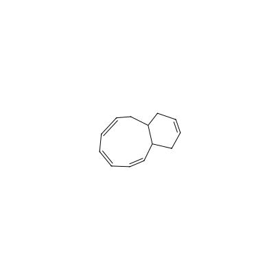 C1=CC=CC2CC=CCC2CC=C1